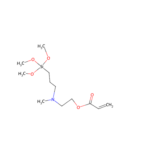 C=CC(=O)OCCN(C)CCC[Si](OC)(OC)OC